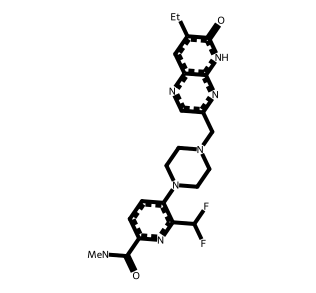 CCc1cc2ncc(CN3CCN(c4ccc(C(=O)NC)nc4C(F)F)CC3)nc2[nH]c1=O